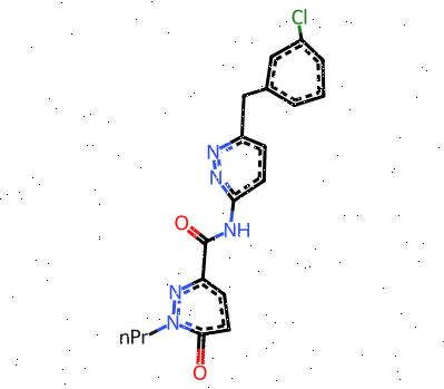 CCCn1nc(C(=O)Nc2ccc(Cc3cccc(Cl)c3)nn2)ccc1=O